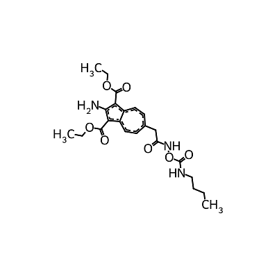 CCCCNC(=O)ONC(=O)Cc1ccc2c(C(=O)OCC)c(N)c(C(=O)OCC)c-2cc1